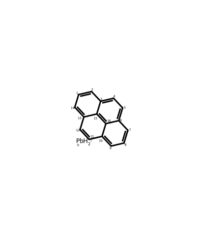 [PbH2].c1cc2ccc3cccc4ccc(c1)c2c34